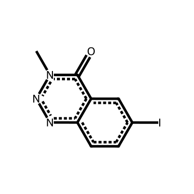 Cn1nnc2ccc(I)cc2c1=O